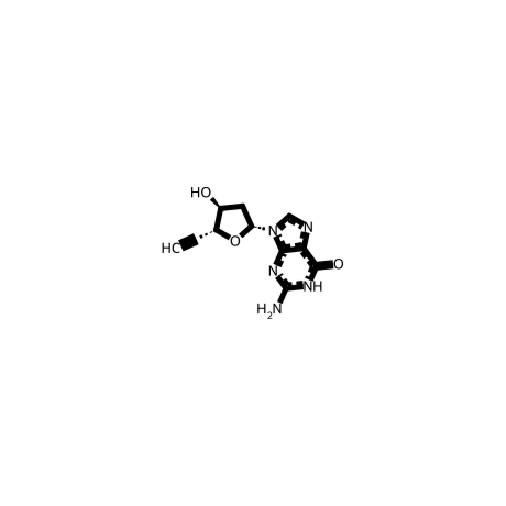 C#C[C@H]1O[C@@H](n2cnc3c(=O)[nH]c(N)nc32)C[C@@H]1O